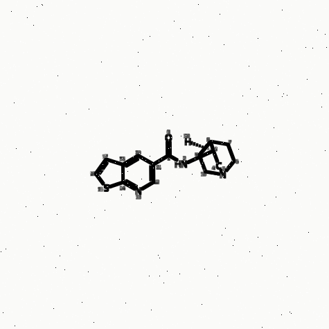 O=C(N[C@@H]1CN2CCC1CC2)c1cnc2sccc2c1